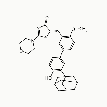 COc1ccc(-c2ccc(O)c(C34CC5CC(CC(C5)C3)C4)c2)cc1C=C1SC(N2CCOCC2)=NC1=O